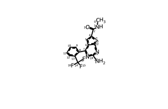 CNC(=O)c1cc2c(-c3ccccc3C(F)(F)F)nc(N)nc2s1